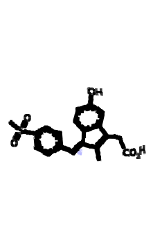 CC1=C(CC(=O)O)c2cc(O)ccc2/C1=C\c1ccc(S(C)(=O)=O)cc1